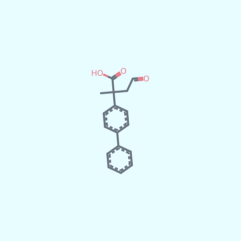 CC(CC=O)(C(=O)O)c1ccc(-c2ccccc2)cc1